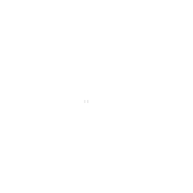 C=C[N+]1(CC)CCOCC1